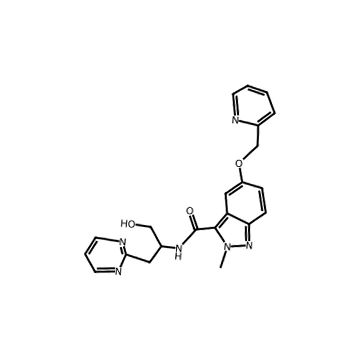 Cn1nc2ccc(OCc3ccccn3)cc2c1C(=O)NC(CO)Cc1ncccn1